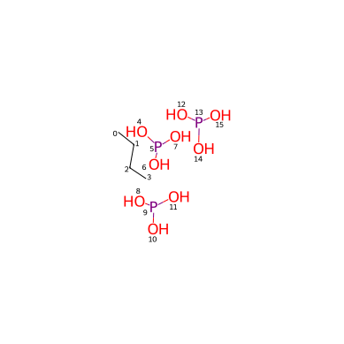 CCCC.OP(O)O.OP(O)O.OP(O)O